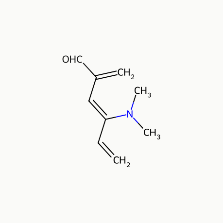 C=C/C(=C/C(=C)C=O)N(C)C